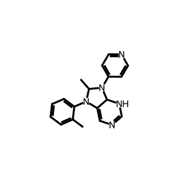 Cc1ccccc1N1C2=CN=CNC2N(c2ccncc2)C1C